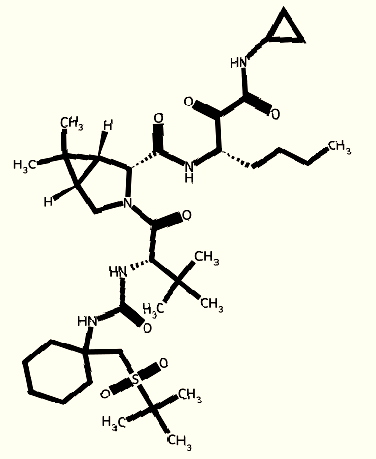 CCCC[C@H](NC(=O)[C@H]1[C@@H]2[C@H](CN1C(=O)[C@@H](NC(=O)NC1(CS(=O)(=O)C(C)(C)C)CCCCC1)C(C)(C)C)C2(C)C)C(=O)C(=O)NC1CC1